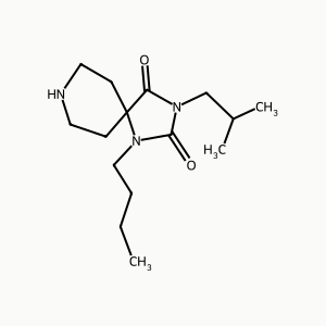 CCCCN1C(=O)N(CC(C)C)C(=O)C12CCNCC2